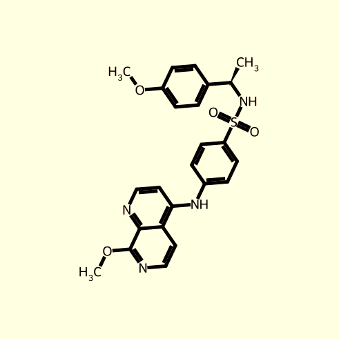 COc1ccc([C@@H](C)NS(=O)(=O)c2ccc(Nc3ccnc4c(OC)nccc34)cc2)cc1